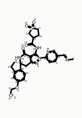 C/N=C/c1ccc(-n2nc3c(c2NC(=O)C2CCS(=O)(=O)C2)C(=O)N[C@@]2(CCc4cc(OCC(F)(F)F)ccc42)C3)nc1